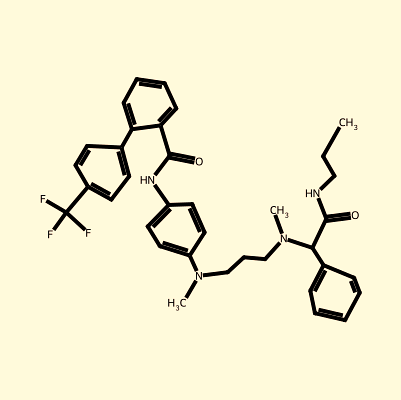 CCCNC(=O)C(c1ccccc1)N(C)CCCN(C)c1ccc(NC(=O)c2ccccc2-c2ccc(C(F)(F)F)cc2)cc1